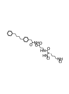 O=C(Cc1ccc(CCCCc2ccccc2)cc1)NOC(=O)CCNC(=O)[C@H](CCCCNCl)NCl